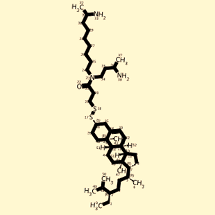 CC[C@H](CC[C@@H](C)[C@H]1CC[C@H]2[C@@H]3CC=C4C[C@@H](SSCCC(=O)N(CCCCCCCC(C)N)CCC(C)N)CC[C@]4(C)[C@H]3CC[C@]12C)C(C)C